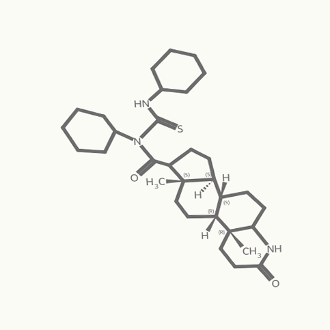 C[C@]12CCC(=O)NC1CC[C@@H]1[C@H]2CC[C@]2(C)C(C(=O)N(C(=S)NC3CCCCC3)C3CCCCC3)CC[C@@H]12